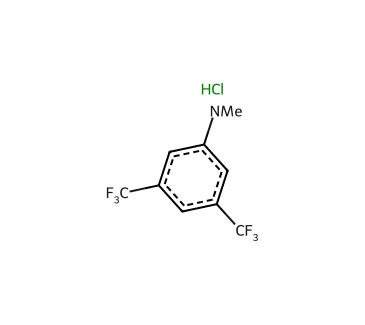 CNc1cc(C(F)(F)F)cc(C(F)(F)F)c1.Cl